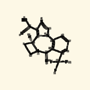 O=C(O)c1ncn2c1[C@@H]1CCN1C(=O)c1c-2cccc1C(F)(F)F